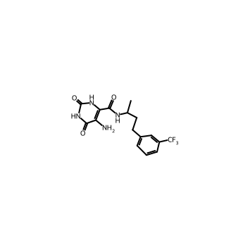 CC(CCc1cccc(C(F)(F)F)c1)NC(=O)c1[nH]c(=O)[nH]c(=O)c1N